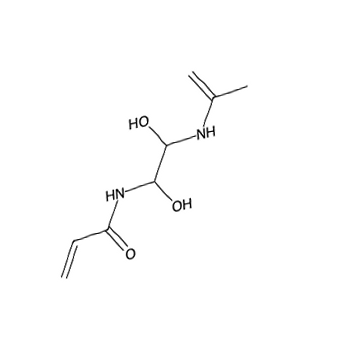 C=CC(=O)NC(O)C(O)NC(=C)C